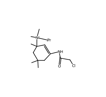 CC(C)[N+](C)(C)C1(C)C=C(NC(=O)CCl)CC(C)(C)C1